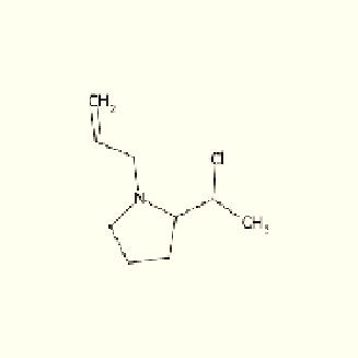 C=CCN1CCCC1C(C)Cl